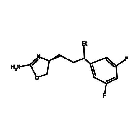 CCC(CC[C@H]1COC(N)=N1)c1cc(F)cc(F)c1